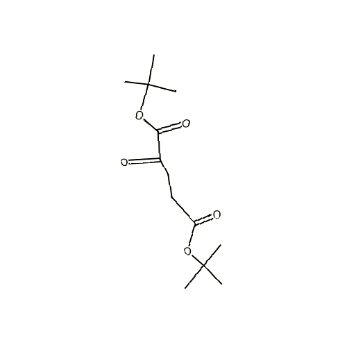 CC(C)(C)OC(=O)CCC(=O)C(=O)OC(C)(C)C